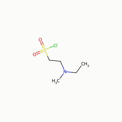 CCN(C)CCS(=O)(=O)Cl